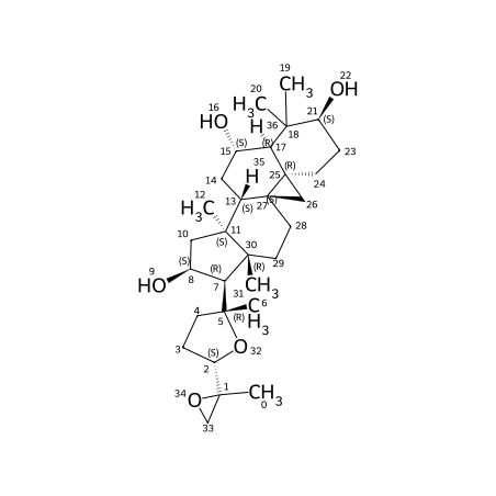 CC1([C@@H]2CC[C@](C)([C@H]3[C@@H](O)C[C@@]4(C)[C@@H]5C[C@H](O)[C@H]6C(C)(C)[C@@H](O)CC[C@@]67C[C@@]57CC[C@]34C)O2)CO1